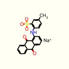 Cc1ccc(Nc2cccc3c2C(=O)c2ccccc2C3=O)c(S(=O)(=O)[O-])c1.[Na+]